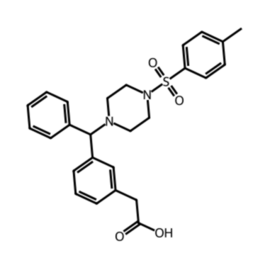 Cc1ccc(S(=O)(=O)N2CCN(C(c3ccccc3)c3cccc(CC(=O)O)c3)CC2)cc1